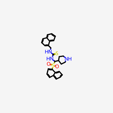 O=S(=O)(c1cccc2ccccc12)C(NC(=S)NCc1cccc2ccccc12)C1CCNCC1